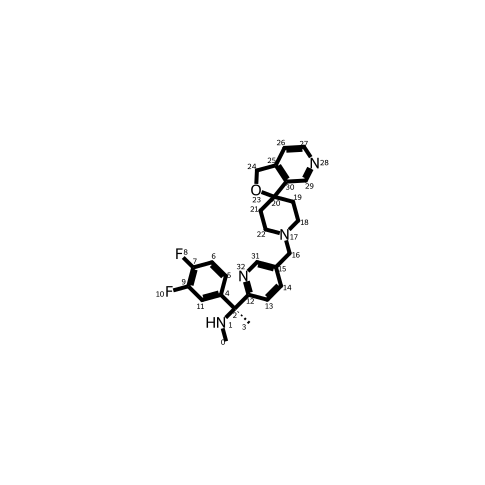 CN[C@@](C)(c1ccc(F)c(F)c1)c1ccc(CN2CCC3(CC2)OCc2ccncc23)cn1